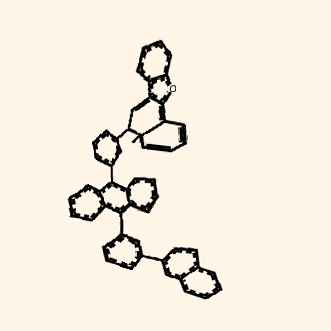 CC12C=CC=CC1=c1oc3ccccc3c1=CC2c1cccc(-c2c3ccccc3c(-c3cccc(-c4ccc5ccccc5c4)c3)c3ccccc23)c1